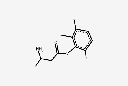 Cc1ccc(C)c(NC(=O)CC(C)N)c1C